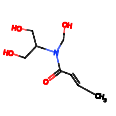 CC=CC(=O)N(CO)C(CO)CO